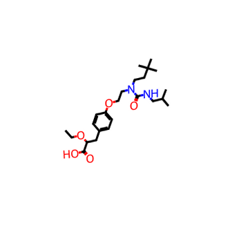 CCOC(Cc1ccc(OCCN(CCC(C)(C)C)C(=O)NCC(C)C)cc1)C(=O)O